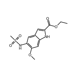 CCOC(=O)c1cc2cc(NS(C)(=O)=O)c(OC)cc2[nH]1